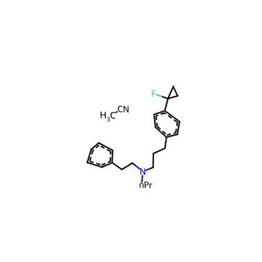 CC#N.CCCN(CCCc1ccc(C2(F)CC2)cc1)CCc1ccccc1